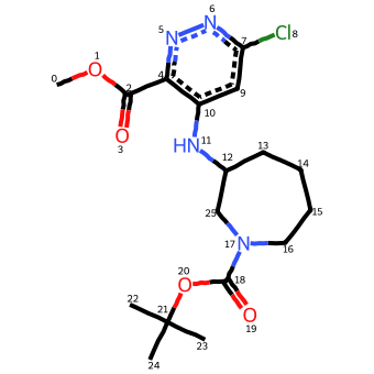 COC(=O)c1nnc(Cl)cc1NC1CCCCN(C(=O)OC(C)(C)C)C1